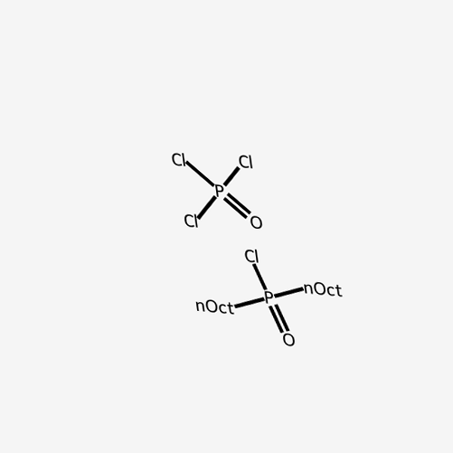 CCCCCCCCP(=O)(Cl)CCCCCCCC.O=P(Cl)(Cl)Cl